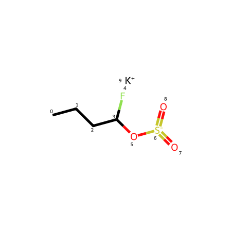 CCCC(F)O[S-](=O)=O.[K+]